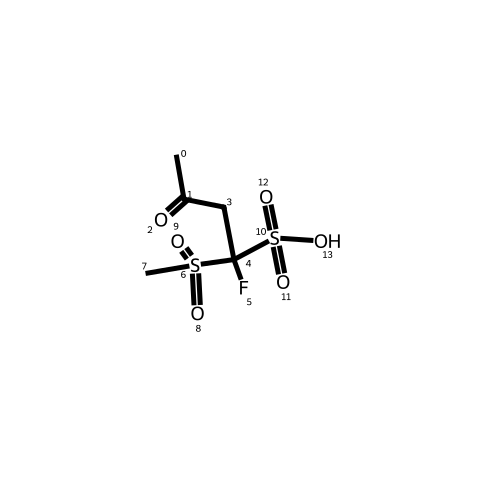 CC(=O)CC(F)(S(C)(=O)=O)S(=O)(=O)O